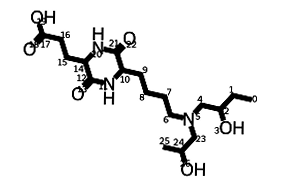 CCC(O)CN(CCCCC1NC(=O)C(CCC(=O)O)NC1=O)CC(C)O